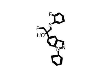 OC(CF)(CSc1ccccc1F)c1ccc2c(cnn2-c2ccccc2)c1